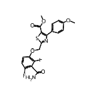 COC(=O)c1sc(COc2ccc(F)c(C(N)=O)c2F)nc1-c1ccc(OC)cc1